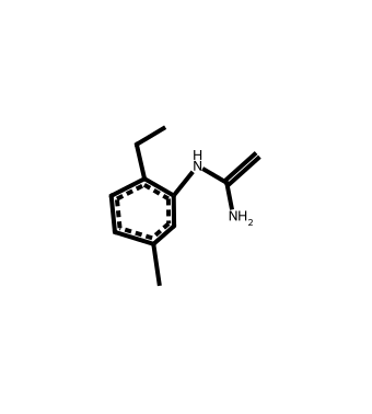 C=C(N)Nc1cc(C)ccc1CC